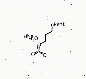 CCCCCCCCO[SH](=O)=O.O.[NaH]